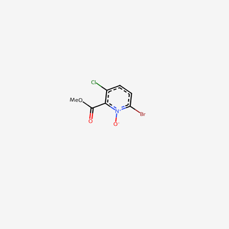 COC(=O)c1c(Cl)ccc(Br)[n+]1[O-]